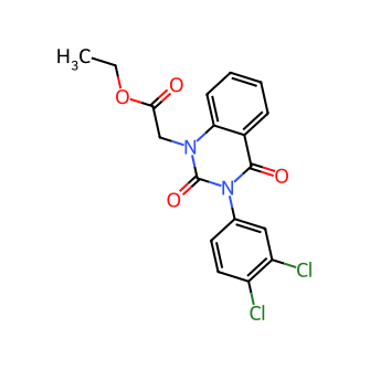 CCOC(=O)Cn1c(=O)n(-c2ccc(Cl)c(Cl)c2)c(=O)c2ccccc21